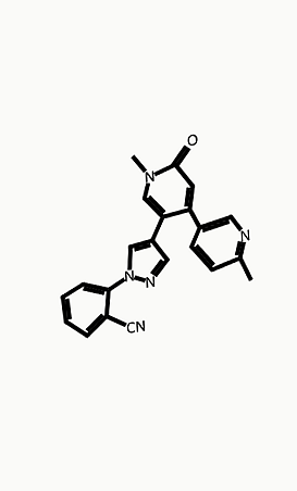 Cc1ccc(-c2cc(=O)n(C)cc2-c2cnn(-c3ccccc3C#N)c2)cn1